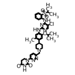 Cc1cc(Nc2ncc(Cl)c(Nc3ccccc3S(=O)(=O)C(C)C)n2)c(OC(C)C)cc1C1CCN(Cc2ccc(N3CCC(=O)NC3=O)nn2)CC1